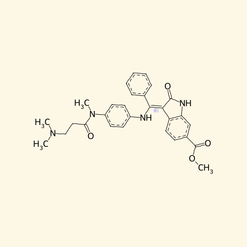 COC(=O)c1ccc2c(c1)NC(=O)/C2=C(/Nc1ccc(N(C)C(=O)CCN(C)C)cc1)c1ccccc1